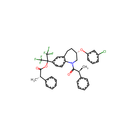 C[C@H](C(=O)OC(c1ccc2c(c1)CC[C@H](Oc1cccc(Cl)c1)CN2C(=O)[C@@H](C)c1ccccc1)(C(F)(F)F)C(F)(F)F)c1ccccc1